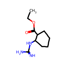 CCOC(=O)C1CCCCC1NC(=N)N